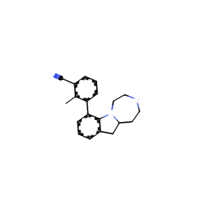 Cc1c(C#N)cccc1-c1cccc2c1N1CCNCCC1C2